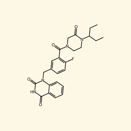 CCC(CC)N1CCN(C(=O)c2cc(Cn3c(=O)[nH]c(=O)c4ccccc43)ccc2F)CC1=O